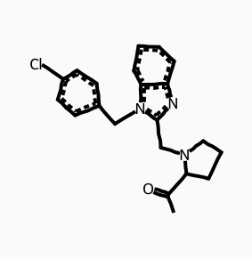 CC(=O)C1CCCN1Cc1nc2ccccc2n1Cc1ccc(Cl)cc1